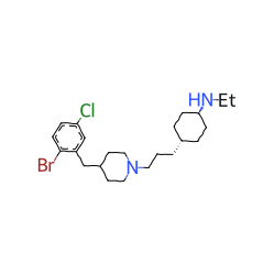 CCN[C@H]1CC[C@H](CCCN2CCC(Cc3cc(Cl)ccc3Br)CC2)CC1